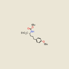 CCOC(=O)[C@@H](CCCc1ccc(OC(C)(C)C)cc1)NC(=O)OC(C)(C)C